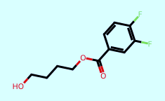 O=C(OCCCCO)c1ccc(F)c(F)c1